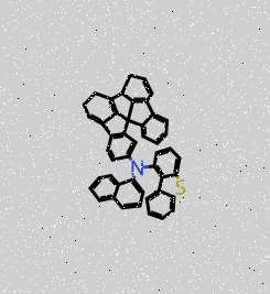 C1=CC2=C3C(C1)C1=C4C(=CCC1)c1ccc(N(c5cccc6ccccc56)c5cccc6sc7ccccc7c56)cc1C43c1ccccc12